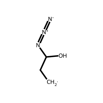 [CH2]CC(O)N=[N+]=[N-]